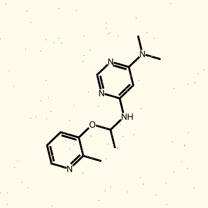 [CH2]C(Nc1cc(N(C)C)ncn1)Oc1cccnc1C